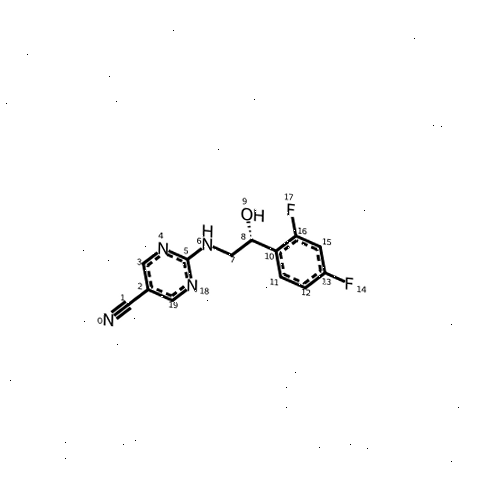 N#Cc1cnc(NC[C@H](O)c2ccc(F)cc2F)nc1